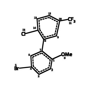 COc1[c]cc(Br)cc1-c1cc(C(F)(F)F)ccc1Cl